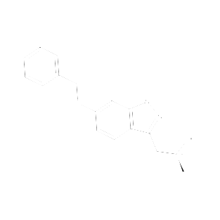 C[C@H](O)Cc1n[nH]c2cc(OCc3ccccc3)ccc12